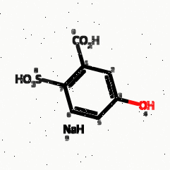 O=C(O)c1cc(O)ccc1S(=O)(=O)O.[NaH]